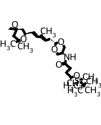 CC(/C=C/[C@@H]1C[C@]2(CO2)CC(C)(C)O1)=C\C[C@H]1OC[C@@H](NC(=O)CC[C@H](C)O[Si](C)(C)C(C)(C)C)CO1